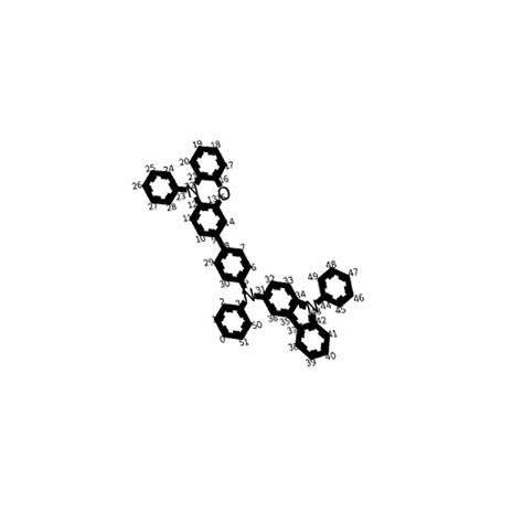 c1ccc(N(c2ccc(-c3ccc4c(c3)Oc3ccccc3N4c3ccccc3)cc2)c2ccc3c(c2)c2ccccc2n3-c2ccccc2)cc1